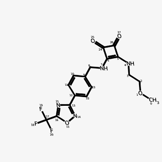 COCCNc1c(NCc2ccc(-c3noc(C(F)(F)F)n3)cc2)c(=O)c1=O